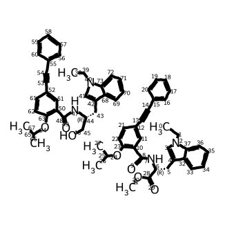 CCn1cc(C[C@@H](NC(=O)c2cc(C#Cc3ccccc3)ccc2OC(C)C)C(=O)OC)c2ccccc21.CCn1cc(C[C@H](CO)NC(=O)c2cc(C#Cc3ccccc3)ccc2OC(C)C)c2ccccc21